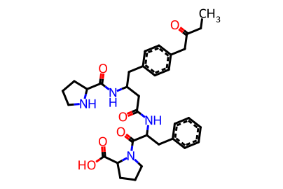 CCC(=O)Cc1ccc(CC(CC(=O)NC(Cc2ccccc2)C(=O)N2CCCC2C(=O)O)NC(=O)C2CCCN2)cc1